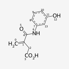 C=C(CC(=O)O)C(=O)Nc1cccc(O)c1